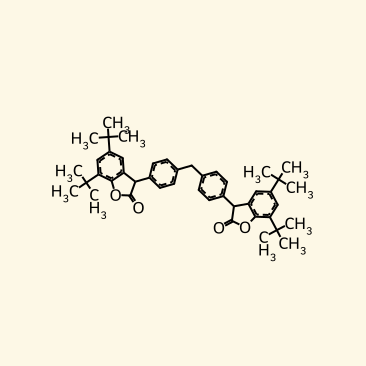 CC(C)(C)c1cc2c(c(C(C)(C)C)c1)OC(=O)C2c1ccc(Cc2ccc(C3C(=O)Oc4c3cc(C(C)(C)C)cc4C(C)(C)C)cc2)cc1